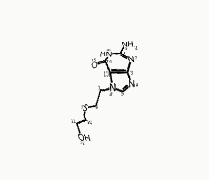 Nc1nc2ncn(CCSCCO)c2c(=O)[nH]1